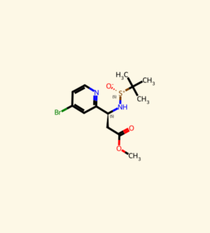 COC(=O)C[C@H](N[S@+]([O-])C(C)(C)C)c1cc(Br)ccn1